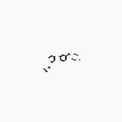 Cc1csc(Nc2cc(Sc3cccc(C(=O)N4CCN(C)CC4)c3)ccn2)n1